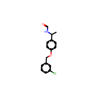 CC(NC=O)c1ccc(OCc2cccc(Cl)c2)cc1